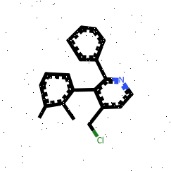 Cc1cccc(-c2c(CCl)ccnc2-c2ccccc2)c1C